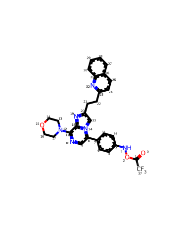 O=C(ONc1ccc(-c2cnc(N3CCOCC3)c3nc(CCc4ccc5ccccc5n4)cn23)cc1)C(F)(F)F